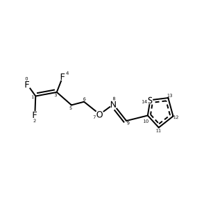 FC(F)=C(F)CCON=Cc1cccs1